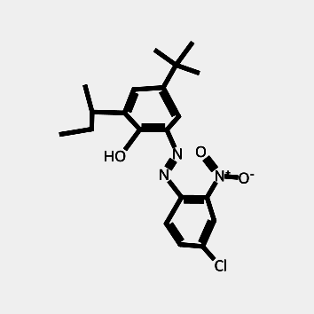 CCC(C)c1cc(C(C)(C)C)cc(N=Nc2ccc(Cl)cc2[N+](=O)[O-])c1O